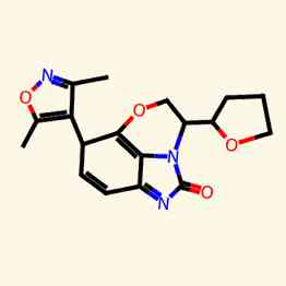 Cc1noc(C)c1C1C=CC2=NC(=O)N3C2=C1OCC3C1CCCO1